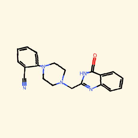 N#Cc1ccccc1N1CCN(Cc2nc3ccccc3c(=O)[nH]2)CC1